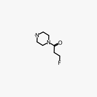 O=C(CCF)N1CC[N]CC1